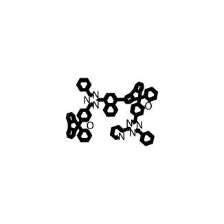 c1ccc(-c2nc(-c3ccc4c(c3)Oc3ccccc3C43c4ccccc4-c4cc(-c5ccc(-c6nc(-c7ccccc7)nc(-c7ccc8c(c7)Oc7ccccc7C87c8ccccc8-c8ccccc87)n6)c6ccccc56)ccc43)nc(-c3ccccn3)n2)cc1